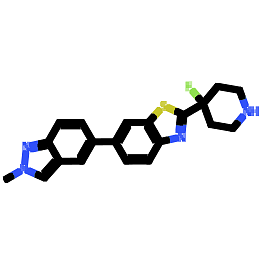 Cn1cc2cc(-c3ccc4nc(C5(F)CCNCC5)sc4c3)ccc2n1